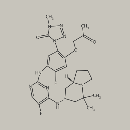 CC(=O)COc1cc(F)c(Nc2ncc(F)c(N[C@@H]3C[C@@H]4CCCN4C(C)(C)C3)n2)cc1-n1nnn(C)c1=O